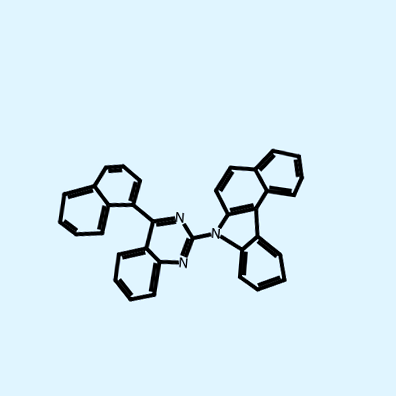 c1ccc2c(-c3nc(-n4c5ccccc5c5c6ccccc6ccc54)nc4ccccc34)cccc2c1